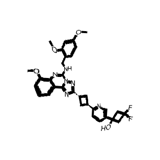 COc1ccc(CNc2nc3c(OC)cccc3c3nc([C@H]4C[C@H](c5ccc(C6(O)CC(F)(F)C6)cn5)C4)nn23)c(OC)c1